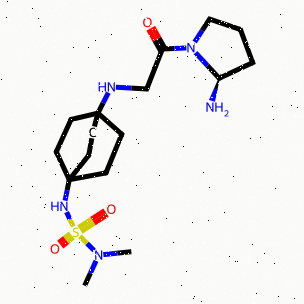 CN(C)S(=O)(=O)NC12CCC(NCC(=O)N3CCC[C@H]3N)(CC1)CC2